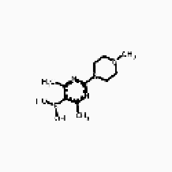 Cc1nc(N2CCN(C)CC2)nc(C)c1B(O)O